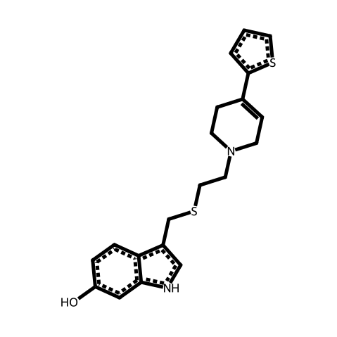 Oc1ccc2c(CSCCN3CC=C(c4cccs4)CC3)c[nH]c2c1